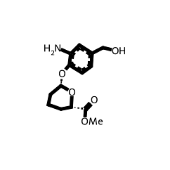 COC(=O)[C@@H]1CCC[C@H](Oc2ccc(CO)cc2N)O1